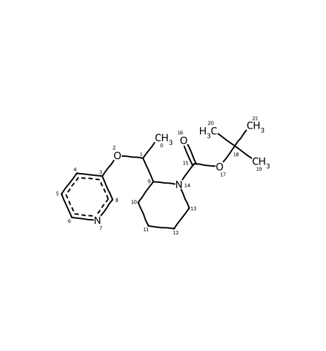 CC(Oc1cccnc1)C1CCCCN1C(=O)OC(C)(C)C